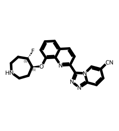 N#Cc1ccc2nnc(-c3ccc4cccc(O[C@H]5CCNCC[C@@H]5F)c4n3)n2c1